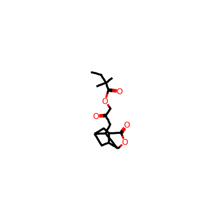 CCC(C)(C)C(=O)OCC(=O)CC1C2CC3C(=O)OC1C3C2